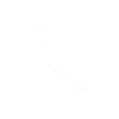 Cn1c(=O)n(C2CCC(=O)NC2=O)c2cccc(C3CCN(CC4CNC4)CC3)c21